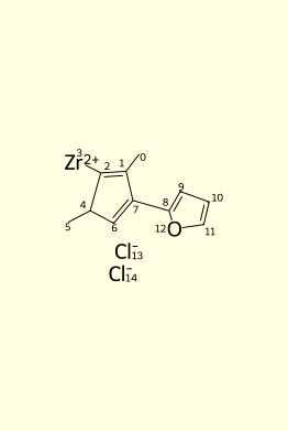 CC1=[C]([Zr+2])C(C)C=C1c1ccco1.[Cl-].[Cl-]